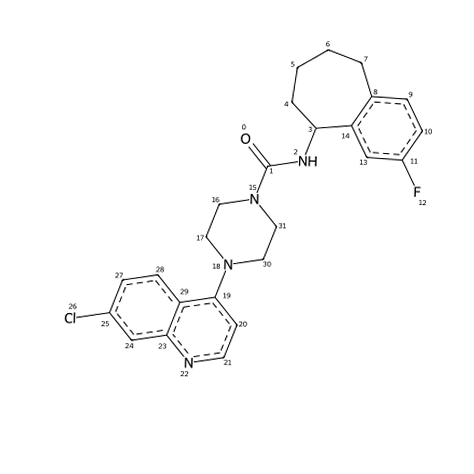 O=C(NC1CCCCc2ccc(F)cc21)N1CCN(c2ccnc3cc(Cl)ccc23)CC1